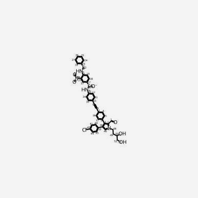 O=Cc1c(-c2ccc(C#Cc3ccc(N[S+]([O-])c4ccc(NSc5ccccc5)c([N+](=O)[O-])c4)cc3)cc2)c(-c2ccc(Cl)cc2)cn1CCC(O)CO